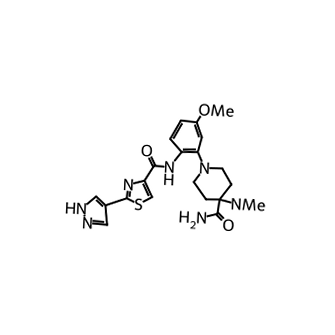 CNC1(C(N)=O)CCN(c2cc(OC)ccc2NC(=O)c2csc(-c3cn[nH]c3)n2)CC1